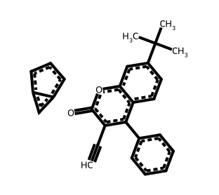 C#Cc1c(-c2ccccc2)c2ccc(C(C)(C)C)cc2oc1=O.c1cc2cc-2c1